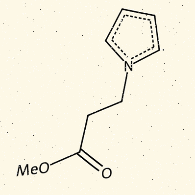 COC(=O)CCn1[c]ccc1